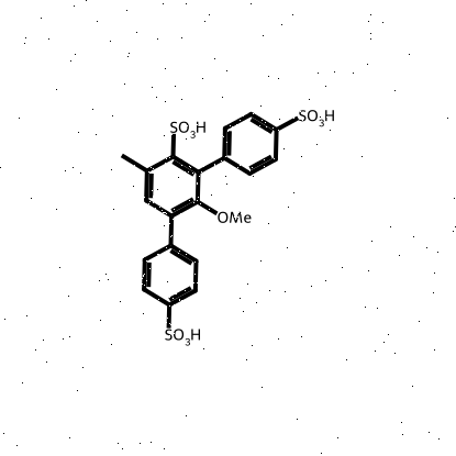 COc1c(-c2ccc(S(=O)(=O)O)cc2)cc(C)c(S(=O)(=O)O)c1-c1ccc(S(=O)(=O)O)cc1